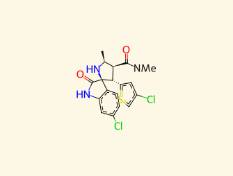 CNC(=O)[C@@H]1[C@H](C)N[C@@]2(C(=O)Nc3cc(Cl)ccc32)[C@H]1c1cc(Cl)cs1